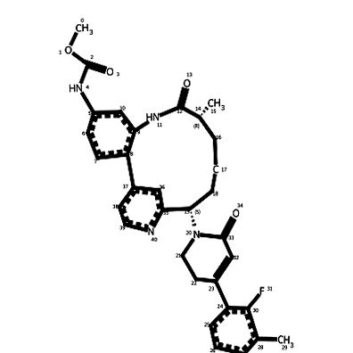 COC(=O)Nc1ccc2c(c1)NC(=O)[C@H](C)CCC[C@H](N1CCC(c3cccc(C)c3F)=CC1=O)c1cc-2ccn1